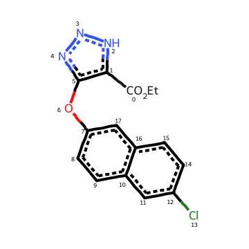 CCOC(=O)c1[nH]nnc1Oc1ccc2cc(Cl)ccc2c1